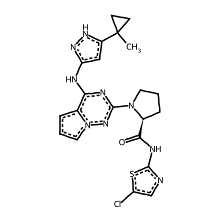 CC1(c2cc(Nc3nc(N4CCC[C@H]4C(=O)Nc4ncc(Cl)s4)nn4cccc34)n[nH]2)CC1